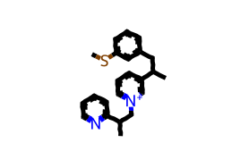 CSc1cccc(CC(C)c2ccc[n+](CC(C)c3ccccn3)c2)c1